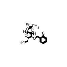 CCC1(C)O[C@H]2O[C@H](CC(C)C)[C@H](OCc3ccccc3Cl)[C@H]2O1